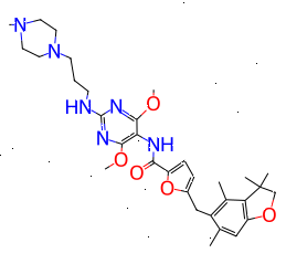 COc1nc(NCCCN2CCN(C)CC2)nc(OC)c1NC(=O)c1ccc(Cc2c(C)cc3c(c2C)C(C)(C)CO3)o1